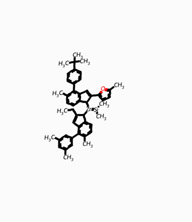 CCC1=Cc2c(ccc(C)c2-c2cc(C)cc(C)c2)[CH]1[Zr]([CH]1C(c2ccc(C)o2)=Cc2c1ccc(C)c2-c1ccc(C(C)(C)C)cc1)=[Si](C)C